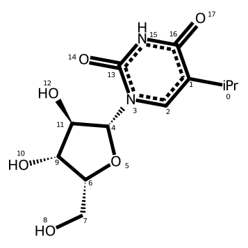 CC(C)c1cn([C@@H]2O[C@H](CO)[C@H](O)[C@H]2O)c(=O)[nH]c1=O